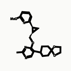 COc1cccc([C@H]2C[C@@H]2COc2nc(C)ncc2C2CCC3(CC2)OCCO3)n1